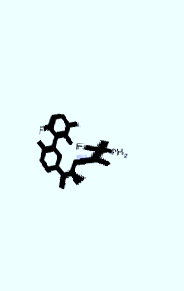 C=C(/C=C(\C)C(C)(F)P)C(=C)C1CCC(C)=C(C2=C(C)C(C)CC=C2F)C1